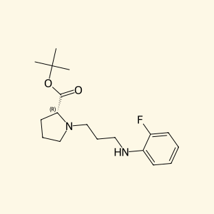 CC(C)(C)OC(=O)[C@H]1CCCN1CCCNc1ccccc1F